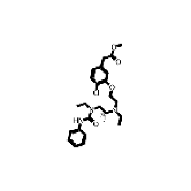 CCN(C[C@@H](C)N(CC)CCOc1cc(CC(=O)OC)ccc1Cl)C(=O)Nc1ccccc1